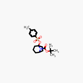 Cc1ccc(S(=O)(=O)OC23CCCC(CC2)N3C(=O)OC(C)(C)C)cc1